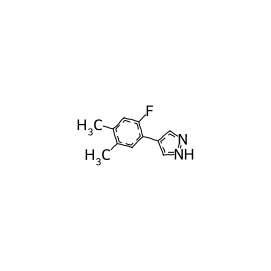 Cc1cc(F)c(-c2cn[nH]c2)cc1C